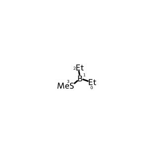 CCB(CC)SC